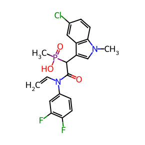 C=CN(C(=O)C(c1cn(C)c2ccc(Cl)cc12)P(C)(=O)O)c1ccc(F)c(F)c1